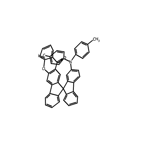 Cc1ccc(N(c2ccc(C)cc2)c2ccc3c(c2)C2(c4ccccc4-3)c3ccccc3-c3cc4oc5ccccc5c(=O)c4cc32)cc1